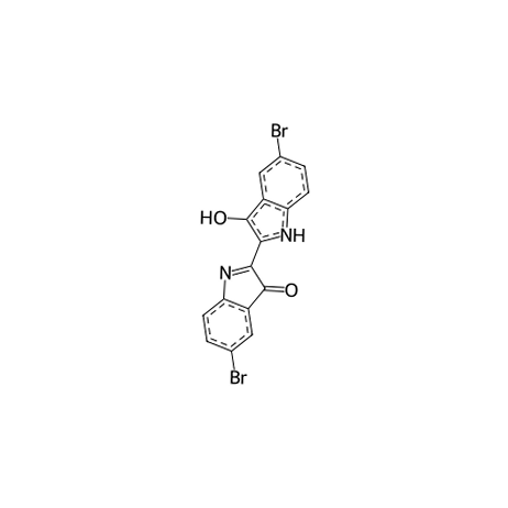 O=C1C(c2[nH]c3ccc(Br)cc3c2O)=Nc2ccc(Br)cc21